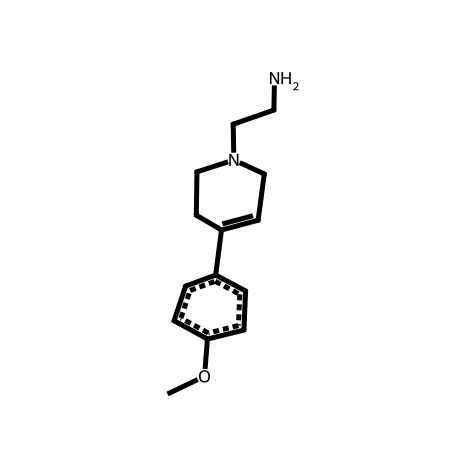 COc1ccc(C2=CCN(CCN)CC2)cc1